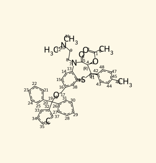 CC(=O)O[C@@H]1C(=O)N(CCN(C)C)c2ccc(COC(c3ccccc3)(c3ccccc3)c3ccccc3)cc2S[C@@H]1c1ccc(C)cc1